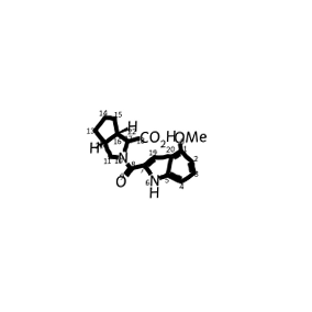 COc1cccc2[nH]c(C(=O)N3C[C@@H]4CCC[C@@H]4C3C(=O)O)cc12